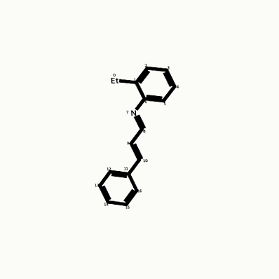 CCc1ccccc1N=CC=Cc1ccccc1